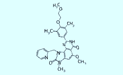 COCCOc1c(C)cc(-c2nc3c(c(OC)cc4c3n(Cc3ccccn3)c(=O)n4C)c(=O)[nH]2)cc1C